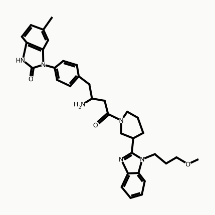 COCCCn1c(C2CCCN(C(=O)CC(N)Cc3ccc(-n4c(=O)[nH]c5ccc(C)cc54)cc3)C2)nc2ccccc21